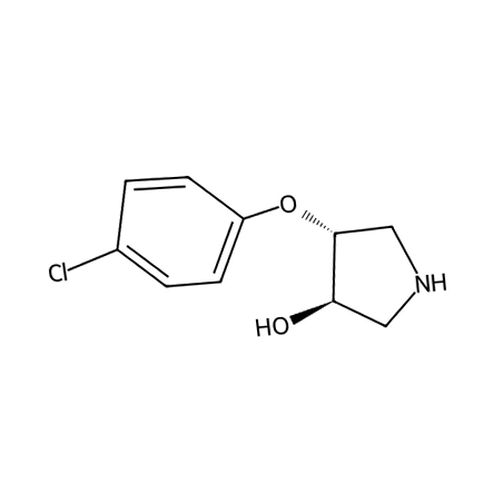 O[C@@H]1CNC[C@H]1Oc1ccc(Cl)cc1